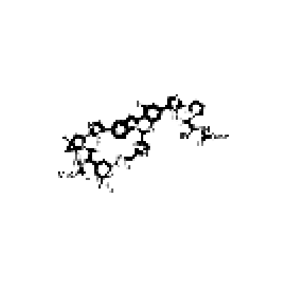 COC(=O)NC(C(=O)N1[C@@H]2C[C@@H]2C[C@H]1c1ncc(-c2ccc3c(c2)cc2n3C(c3cnc(CC(C)C)s3)Oc3cc(-c4cnc([C@@H]5CCCN5C(=O)[C@@H](NC(=O)OC)C(C)C)[nH]4)cc(F)c3-2)[nH]1)C1C[C@@H](C)O[C@@H](C)C1